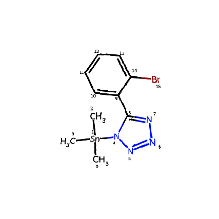 [CH3][Sn]([CH3])([CH3])[n]1nnnc1-c1ccccc1Br